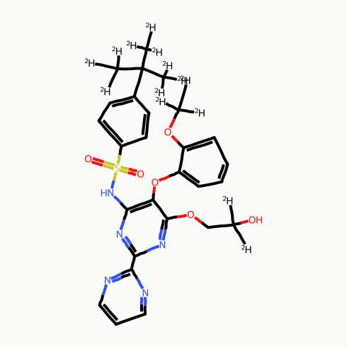 [2H]C([2H])(O)COc1nc(-c2ncccn2)nc(NS(=O)(=O)c2ccc(C(C([2H])([2H])[2H])(C([2H])([2H])[2H])C([2H])([2H])[2H])cc2)c1Oc1ccccc1OC([2H])([2H])[2H]